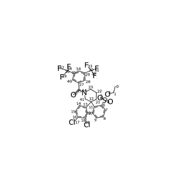 CCOS(=O)(=O)c1ccccc1C1(c2ccc(Cl)c(Cl)c2)CCCN(C(=O)c2cc(C(F)(F)F)cc(C(F)(F)F)c2)C1